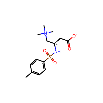 Cc1ccc(S(=O)(=O)N[C@H](CC(=O)[O-])C[N+](C)(C)C)cc1